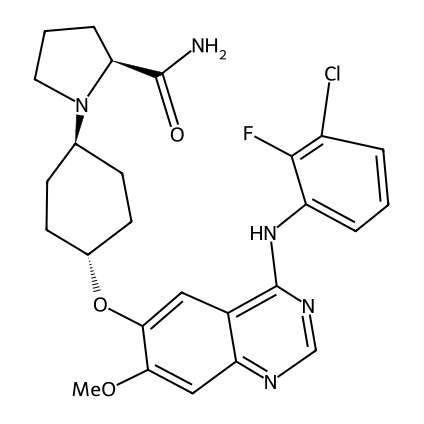 COc1cc2ncnc(Nc3cccc(Cl)c3F)c2cc1O[C@H]1CC[C@H](N2CCC[C@H]2C(N)=O)CC1